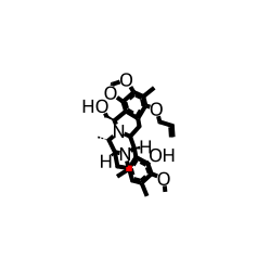 C=CCOc1c(C)c2c(c3c1CC1[C@@H]4c5c(cc(C)c(OC)c5O)C[C@H]([C@H](C)N1[C@H]3CO)N4CC)OCO2